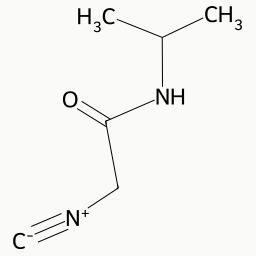 [C-]#[N+]CC(=O)NC(C)C